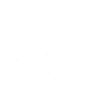 CC1=Cc2c(-c3ccc(C(C)(C)C)cc3)cccc2[CH]1[Hf+2]1([CH]2C(C(C)C)=Cc3c(-c4ccc(C(C)(C)C)cc4)cccc32)[CH2][CH2]1.[Cl-].[Cl-]